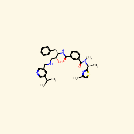 Cc1csc([C@@H](C)N(C)C(=O)c2cccc(C(=O)N[C@@H](Cc3ccccc3)[C@H](O)CNCc3cncc(C(C)C)c3)c2)n1